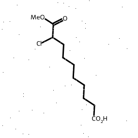 COC(=O)C(Cl)CCCCCCCC(=O)O